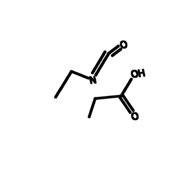 CCC(=O)O.CCN=C=O